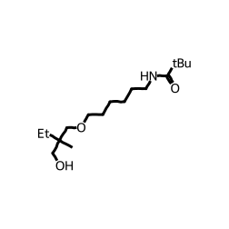 CCC(C)(CO)COCCCCCCNC(=O)C(C)(C)C